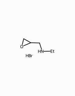 Br.CCNCC1CO1